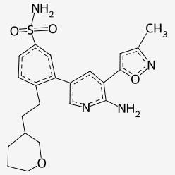 Cc1cc(-c2cc(-c3cc(S(N)(=O)=O)ccc3CCC3CCCOC3)cnc2N)on1